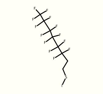 FC(F)(F)C(F)(F)C(F)(F)C(F)(F)C(F)(F)C(F)(F)CCSI